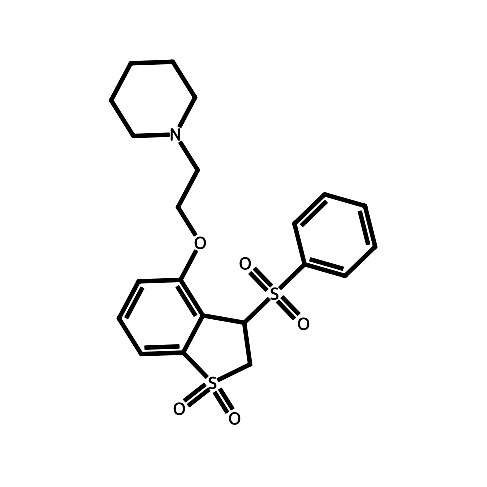 O=S1(=O)CC(S(=O)(=O)c2ccccc2)c2c(OCCN3CCCCC3)cccc21